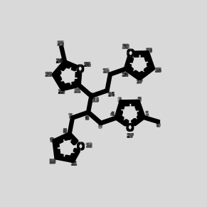 Cc1ccc(CC(Cc2ccco2)[C](CCc2ccco2)c2ccc(C)o2)o1